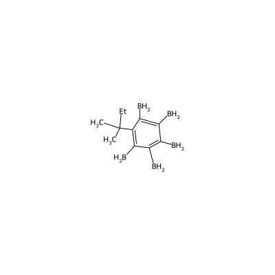 Bc1c(B)c(B)c(C(C)(C)CC)c(B)c1B